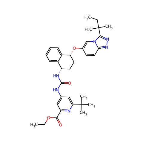 CCOC(=O)c1cc(NC(=O)N[C@H]2CC[C@@H](Oc3ccc4nnc(C(C)(C)CC)n4c3)c3ccccc32)cc(C(C)(C)C)n1